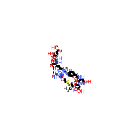 CC(=O)NNC(=O)OCCSSC[C@@H](C)NC(=O)[C@H](CC(=O)O)NC(=O)[C@H](CC(=O)O)NC(=O)Cc1ccc(NC(=O)NCCCC[C@H](NC(=O)N[C@@H](CCC(=O)O)C(=O)O)C(=O)O)cc1